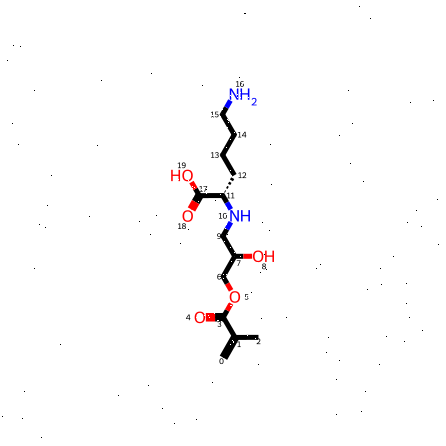 C=C(C)C(=O)OCC(O)CN[C@@H](CCCCN)C(=O)O